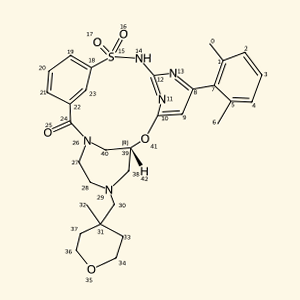 Cc1cccc(C)c1-c1cc2nc(n1)NS(=O)(=O)c1cccc(c1)C(=O)N1CCN(CC3(C)CCOCC3)C[C@H](C1)O2